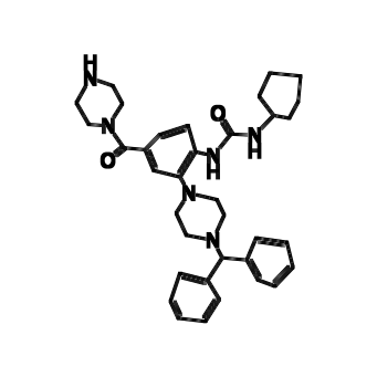 O=C(Nc1ccc(C(=O)N2CCNCC2)cc1N1CCN(C(c2ccccc2)c2ccccc2)CC1)NC1CCCCC1